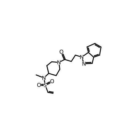 C=CS(=O)(=O)N(C)C1CCN(C(=O)CCn2ncc3ccccc32)CC1